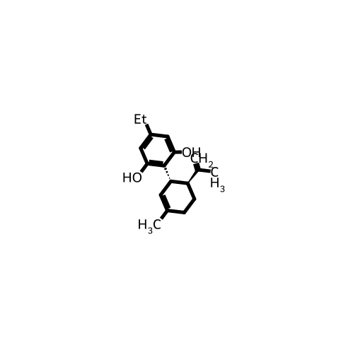 C=C(C)[C@H]1CCC(C)=C[C@@H]1c1c(O)cc(CC)cc1O